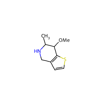 COC1c2sccc2CNC1C